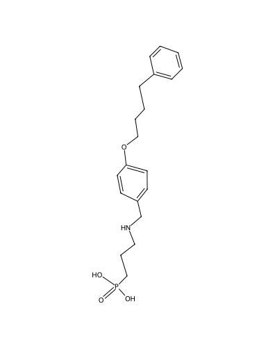 O=P(O)(O)CCCNCc1ccc(OCCCCc2ccccc2)cc1